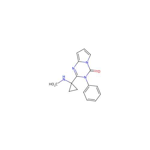 O=C(O)NC1(c2nc3cccn3c(=O)n2-c2ccccc2)CC1